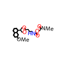 CNC(=O)COC(=O)NCCCC1OCC(c2cccc3ccc(OC)cc23)CO1